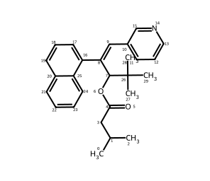 CC(C)CC(=O)OC(/C(=C\c1cccnc1)c1cccc2ccccc12)C(C)(C)C